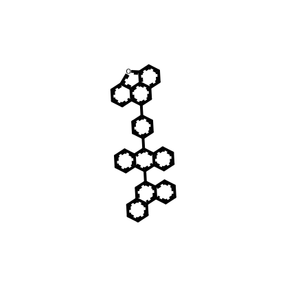 c1ccc2c(c1)cc(-c1c3ccccc3c(-c3ccc(-c4cc5cccc6oc7cccc4c7c56)cc3)c3ccccc13)c1ccccc12